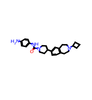 Nc1ccc(NC(=O)N2CCC(c3ccc4c(c3)CCN(C3CCC3)CC4)CC2)cc1